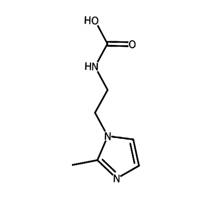 Cc1nccn1CCNC(=O)O